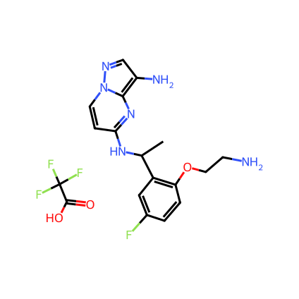 CC(Nc1ccn2ncc(N)c2n1)c1cc(F)ccc1OCCN.O=C(O)C(F)(F)F